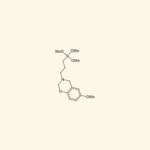 COc1ccc2c(c1)CN(CCC[Si](OC)(OC)OC)CO2